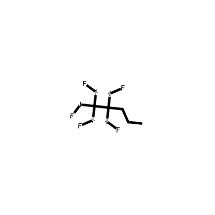 CCCC([I]F)([I]F)C([I]F)([I]F)[I]F